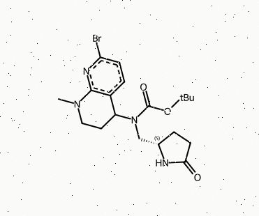 CN1CCC(N(C[C@@H]2CCC(=O)N2)C(=O)OC(C)(C)C)c2ccc(Br)nc21